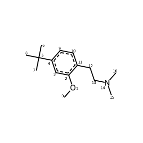 COc1cc(C(C)(C)C)ccc1CCN(C)C